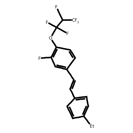 CCc1ccc(C=Cc2ccc(OC(F)(F)C(F)C(F)(F)F)c(F)c2)cc1